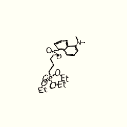 CC[O][Ge]([CH2]CCS(=O)(=O)c1cccc2c(N(C)C)cccc12)([O]CC)[O]CC